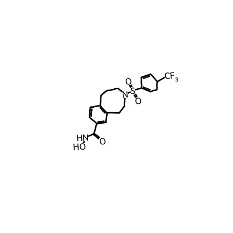 O=C(NO)c1ccc2c(c1)CCN(S(=O)(=O)C1=CCC(C(F)(F)F)C=C1)CCC2